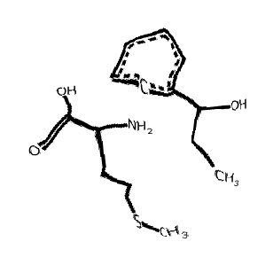 CCC(O)c1ccccc1.CSCCC(N)C(=O)O